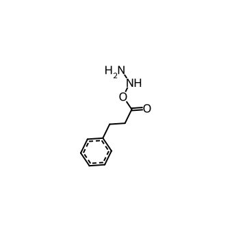 NNOC(=O)CCc1ccccc1